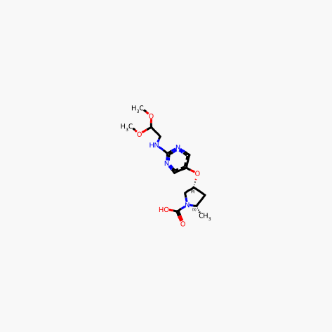 COC(CNc1ncc(O[C@@H]2C[C@H](C)N(C(=O)O)C2)cn1)OC